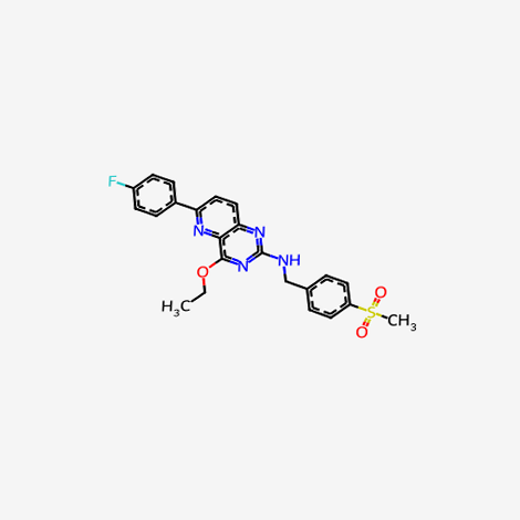 CCOc1nc(NCc2ccc(S(C)(=O)=O)cc2)nc2ccc(-c3ccc(F)cc3)nc12